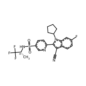 C[C@@H](NS(=O)(=O)c1ccc(-c2c(C#N)c3ccc(F)cc3n2C2CCCC2)nc1)C(F)(F)F